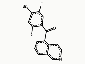 O=C(c1cc(F)c(Br)cc1F)c1cccc2cnccc12